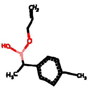 C=CCOB(O)C(C)c1ccc(C)cc1